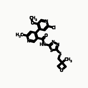 COc1cnc(Cl)cc1-c1cc(C)ncc1C(=O)Nc1nnc(SCC2(C)COC2)s1